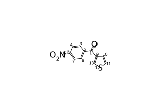 O=C(c1ccc([N+](=O)[O-])cc1)c1ccsc1